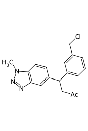 CC(=O)CC(c1cccc(CCl)c1)c1ccc2c(c1)nnn2C